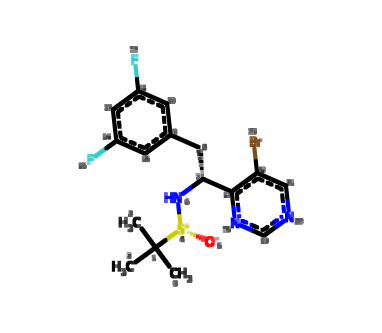 CC(C)(C)[S@@+]([O-])N[C@H](Cc1cc(F)cc(F)c1)c1ncncc1Br